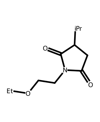 CCOCCN1C(=O)CC(C(C)C)C1=O